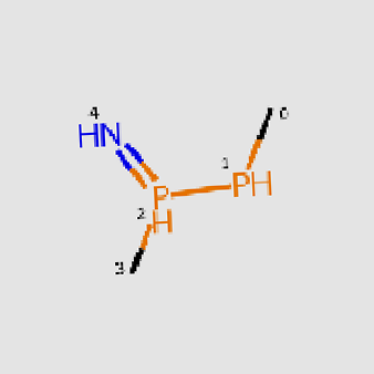 CP[PH](C)=N